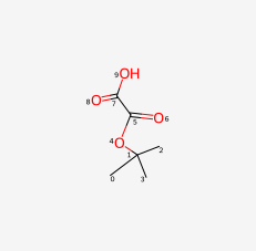 CC(C)(C)OC(=O)C(=O)O